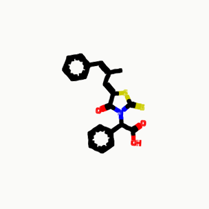 CC(=Cc1ccccc1)C=C1SC(=S)N(C(C(=O)O)c2ccccc2)C1=O